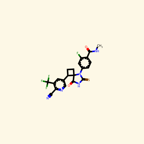 CNC(=O)c1ccc(N2C(=S)NC(=O)C23CCC3c2cnc(C#N)c(C(F)(F)F)c2)cc1F